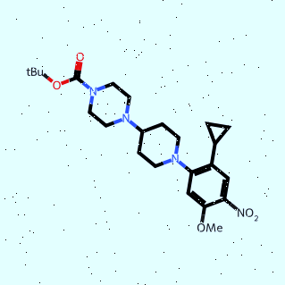 COc1cc(N2CCC(N3CCN(C(=O)OC(C)(C)C)CC3)CC2)c(C2CC2)cc1[N+](=O)[O-]